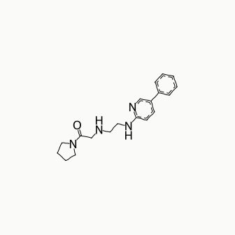 O=C(CNCCNc1ccc(-c2ccccc2)cn1)N1CCCC1